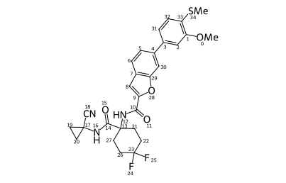 COc1cc(-c2ccc3cc(C(=O)NC4(C(=O)NC5(C#N)CC5)CCC(F)(F)CC4)oc3c2)ccc1SC